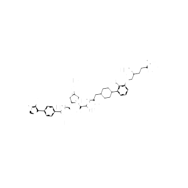 Cc1ncsc1-c1ccc(C(C)NC(=O)[C@@H]2C[C@@H](O)CN2C(=O)C(NC(=O)CC2CCC(c3cccc(OCC(N)CCC(N)=O)c3Cl)CC2)C(C)(C)C)cc1.Cl